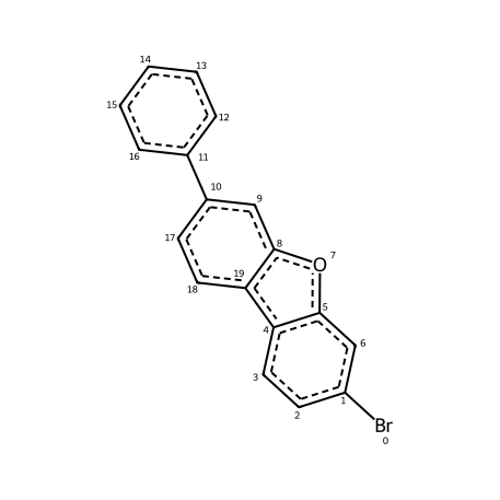 Brc1ccc2c(c1)oc1cc(-c3ccccc3)ccc12